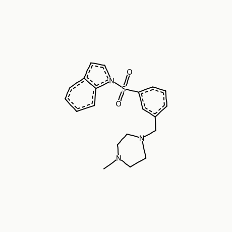 CN1CCN(Cc2cccc(S(=O)(=O)n3ccc4ccccc43)c2)CC1